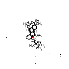 CC(=O)O[C@@H]1C[C@@]23COC[C@](C)([C@@H]2CC[C@H]2C3=CC(=O)[C@@]3(C)[C@H](C(=O)O)[C@@](C)([C@H](C)C(C)C)CC[C@]23C)[C@H]1OCC(C)(C(C)C)N(C)C